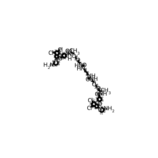 C[C@@H](COCCOCCNC(=O)NCCCCNC(=O)NCCOCCOC[C@H](C)N[S+]([O-])c1ccc(O[C@H]2c3cc(Cl)cc(Cl)c3C[C@@H]2N2CCC[C@@H](N)C2)cc1)N[S+]([O-])c1ccc(OC2c3cc(Cl)cc(Cl)c3C[C@@H]2N2CCC[C@@H](N)C2)cc1